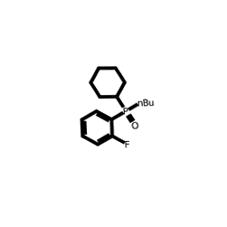 CCCCP(=O)(c1ccccc1F)C1CCCCC1